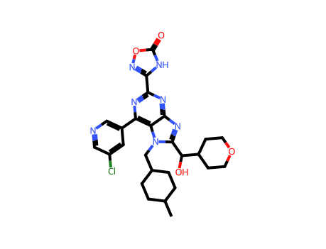 CC1CCC(Cn2c(C(O)C3CCOCC3)nc3nc(-c4noc(=O)[nH]4)nc(-c4cncc(Cl)c4)c32)CC1